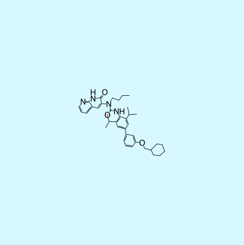 CCCCN(C(=O)Nc1c(C(C)C)cc(-c2cccc(OCC3CCCCC3)c2)cc1C(C)C)c1cc2cccnc2[nH]c1=O